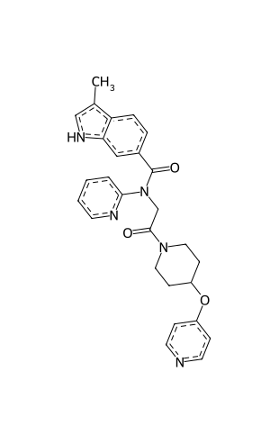 Cc1c[nH]c2cc(C(=O)N(CC(=O)N3CCC(Oc4ccncc4)CC3)c3ccccn3)ccc12